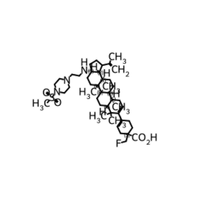 C=C(C)C1CC[C@]2(NCCN3CCN(S(C)(=O)=O)CC3)CC[C@]3(C)[C@H](CC[C@@H]4[C@@]5(C)CC=C(C6=CC[C@](CF)(C(=O)O)CC6)C(C)(C)[C@@H]5CC[C@]43C)[C@@H]12